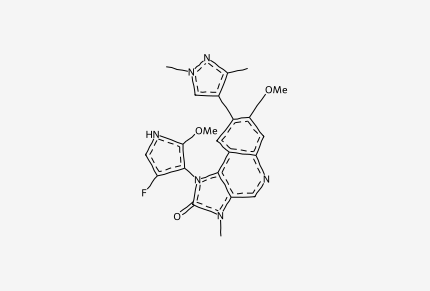 COc1cc2ncc3c(c2cc1-c1cn(C)nc1C)n(-c1c(F)c[nH]c1OC)c(=O)n3C